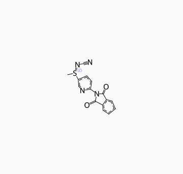 C/S(=N/C#N)c1ccc(N2C(=O)c3ccccc3C2=O)nc1